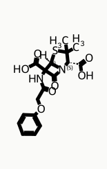 CC1(C)S[C@H]2N(C(=O)C2(NC(=O)COc2ccccc2)C(=O)O)[C@H]1C(=O)O